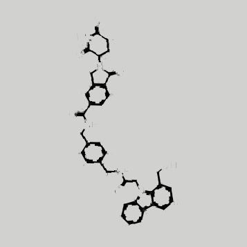 O=C(Cn1c2ccccc2c2cccc(CO)c21)NCc1ccc(CNC(=O)c2ccc3c(c2)CN(C2CCC(=O)NC2=O)C3=O)cc1